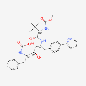 COC(=O)N[C@H](C(=O)N[C@H](Cc1ccc(-c2ccccn2)cc1)C[C@@H](O)[C@H](Cc1ccccc1)NC(=O)O)C(C)(C)C